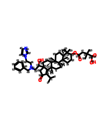 CC(C)C1=C2[C@H]3CC[C@@H]4[C@@]5(C)CC[C@H](OC(=O)CC(C)(C)C(=O)O)C(C)(C)[C@@H]5CC[C@@]4(C)[C@]3(C)CCC2(C(O)CN(CCn2ccnc2)Cc2ccccc2)CC1=O